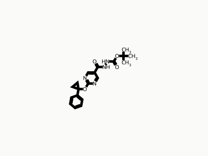 CC(C)(C)OC(=O)NNC(=O)c1cnc(OC2(c3ccccc3)CC2)nc1